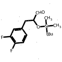 CC(C)(C)[Si](C)(C)OC(C=O)Cc1ccc(F)c(F)c1